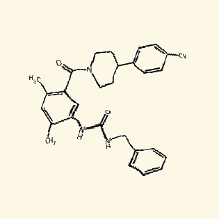 Cc1cc(C)c(C(=O)N2CCC(c3ccc(C#N)cc3)CC2)cc1NC(=O)NCc1ccccc1